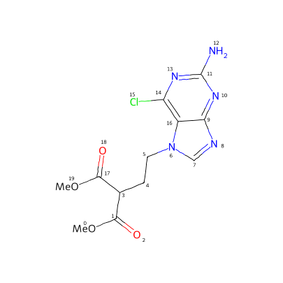 COC(=O)C(CCn1cnc2nc(N)nc(Cl)c21)C(=O)OC